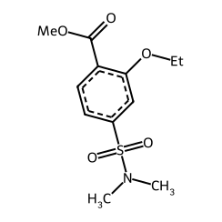 CCOc1cc(S(=O)(=O)N(C)C)ccc1C(=O)OC